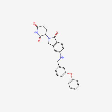 O=C1CCC(N2Cc3cc(NCc4cccc(Oc5ccccc5)c4)ccc3C2=O)C(=O)N1